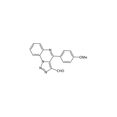 COc1ccc(-c2nc3ccccc3n3nnc(C=O)c23)cc1